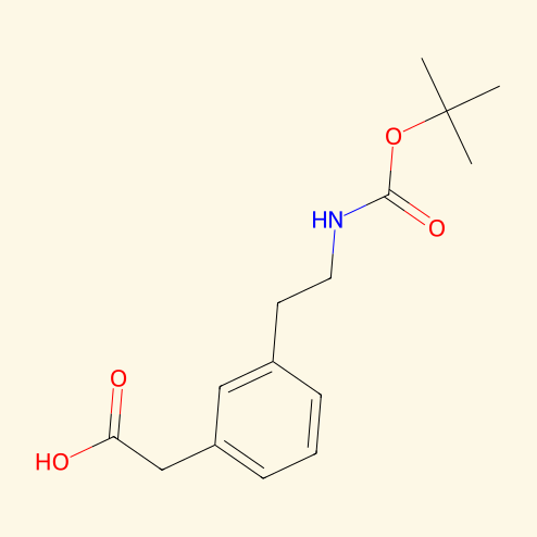 CC(C)(C)OC(=O)NCCc1cccc(CC(=O)O)c1